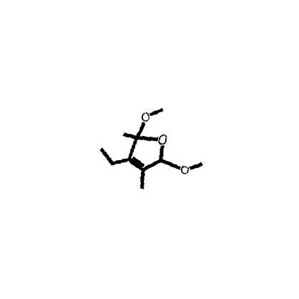 CCC1=C(C)C(OC)OC1(C)OC